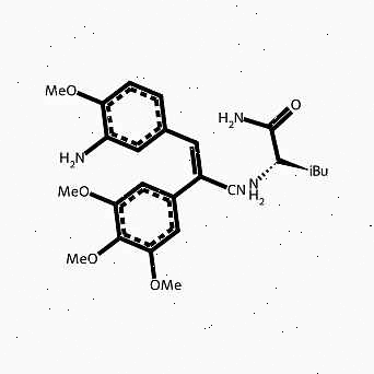 CC[C@H](C)[C@H](N)C(N)=O.COc1ccc(/C=C(/C#N)c2cc(OC)c(OC)c(OC)c2)cc1N